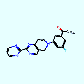 COC(=O)c1cc(F)cc(N2CCc3nc(-c4ncccn4)ncc3C2)c1